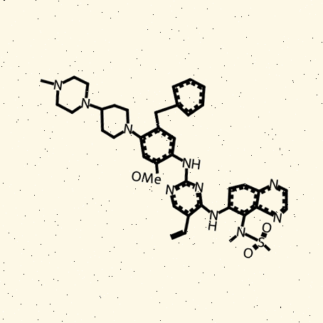 C=Cc1cnc(Nc2cc(Cc3ccccc3)c(N3CCC(N4CCN(C)CC4)CC3)cc2OC)nc1Nc1ccc2nccnc2c1N(C)S(C)(=O)=O